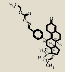 CCOC(=O)ON=Cc1ccc([C@H]2C[C@@]3(C)[C@@H](CC[C@]3(COC)OC)[C@@H]3CCC4=CC(=O)CCC4=C32)cc1